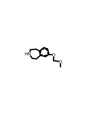 COCOc1ccc2c(c1)CCNCC2